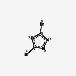 Brc1nnc(Br)o1